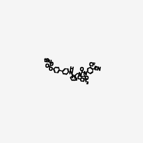 CC(C)(C)OC(=O)Oc1ccc(-c2ccc(Nc3ccccc3CN3C(=O)N(c4ccc(C#N)c(C(F)(F)F)c4)C(=O)C3(C)C)cc2)cc1